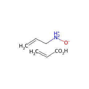 C=CC(=O)O.C=CC[NH2+][O-]